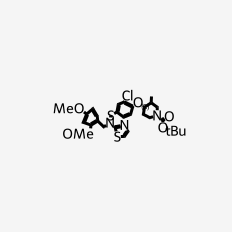 COc1ccc(CN(Sc2ccc(O[C@@H]3CCN(C(=O)OC(C)(C)C)CC3C)c(Cl)c2)c2nccs2)c(OC)c1